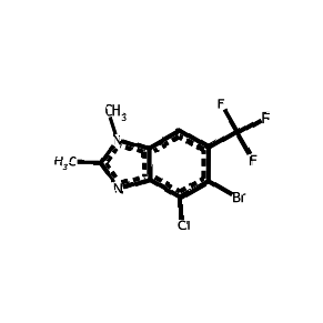 Cc1nc2c(Cl)c(Br)c(C(F)(F)F)cc2n1C